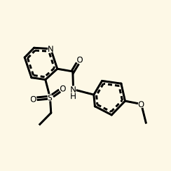 CCS(=O)(=O)c1cccnc1C(=O)Nc1ccc(OC)cc1